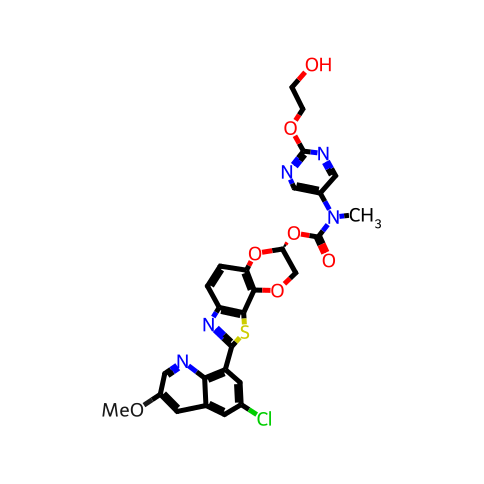 COc1cnc2c(-c3nc4ccc5c(c4s3)OC[C@@H](OC(=O)N(C)c3cnc(OCCO)nc3)O5)cc(Cl)cc2c1